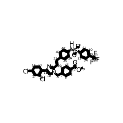 COC(=O)c1ccc(Cn2cc(-c3ccc(Cl)cc3Cl)nc2C=Cc2ccc(NS(=O)(=O)c3ccc(C(F)(F)F)cc3)cc2)cc1